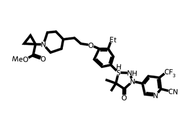 CCc1cc([SH]2NN(c3cnc(C#N)c(C(F)(F)F)c3)C(=O)C2(C)C)ccc1OCCC1CCN(C2(C(=O)OC)CC2)CC1